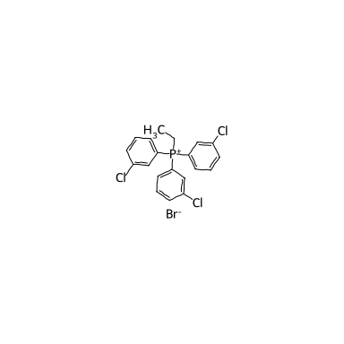 CC[P+](c1cccc(Cl)c1)(c1cccc(Cl)c1)c1cccc(Cl)c1.[Br-]